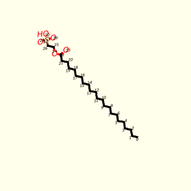 CCCCCCCCCCCCCCCCCCCCCCC(=O)OCCS(=O)(=O)O